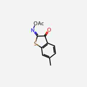 CC(=O)O/N=C1/Sc2cc(C)ccc2C1=O